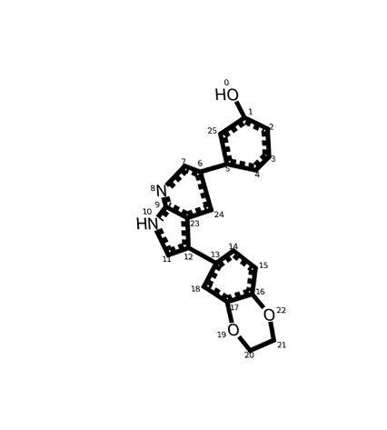 Oc1cccc(-c2cnc3[nH]cc(-c4ccc5c(c4)OCCO5)c3c2)c1